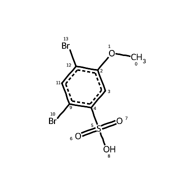 COc1cc(S(=O)(=O)O)c(Br)cc1Br